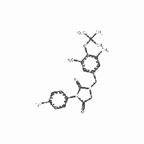 Cc1cc(CN2CC(=O)N(c3ccc(C(F)(F)F)cc3)C2=O)cc(C)c1OC(C)(C)C(=O)O